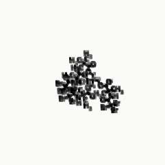 CC(C)(C)C(=O)OCC(COC(=O)C(C)(C)NC(=O)C(Br)(Br)Br)(COC(=O)C(C)(C)NC(=O)C(Br)(Br)Br)COC(=O)C(C)(C)NC(=O)C(Br)(Br)Br